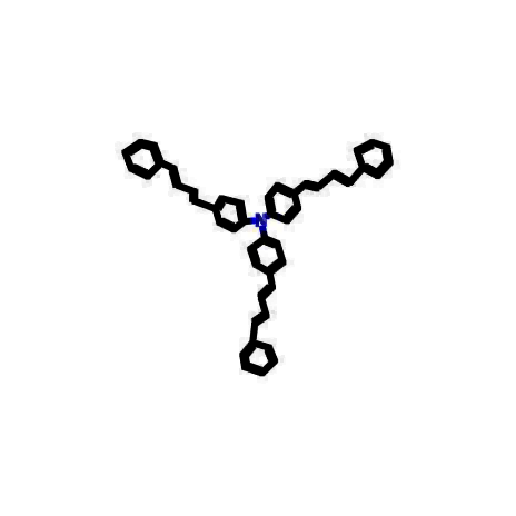 C1=C=C(C=CC=Cc2ccc(N(c3ccc(C=CC=CC4=C=C=CC=C4)cc3)c3ccc(C=CC=CC4=C=C=CC=C4)cc3)cc2)C=CC=1